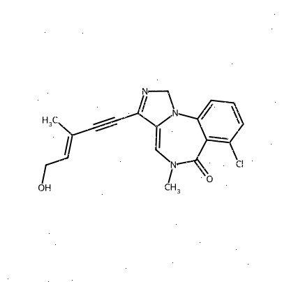 CC(C#CC1=NCN2C1=CN(C)C(=O)c1c(Cl)cccc12)=CCO